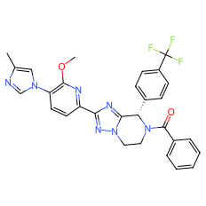 COc1nc(-c2nc3n(n2)CCN(C(=O)c2ccccc2)[C@H]3c2ccc(C(F)(F)F)cc2)ccc1-n1cnc(C)c1